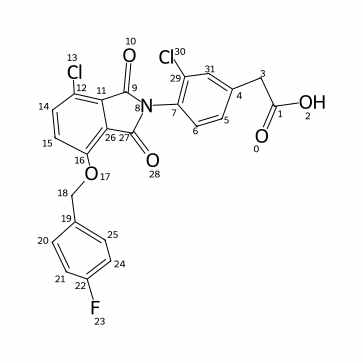 O=C(O)Cc1ccc(N2C(=O)c3c(Cl)ccc(OCc4ccc(F)cc4)c3C2=O)c(Cl)c1